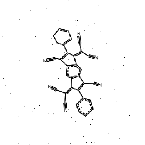 N#CC(C#N)=C1C(C2=CC=CCC2)=C(C#N)c2cc3c(cc21)C(C#N)=C(c1ccccc1)C3=C(C#N)C#N